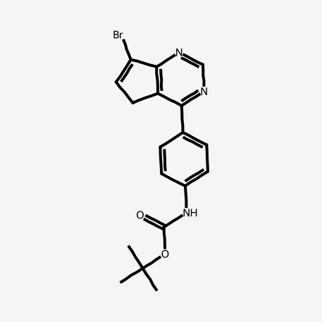 CC(C)(C)OC(=O)Nc1ccc(-c2ncnc3c2CC=C3Br)cc1